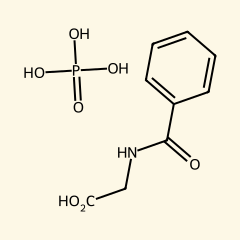 O=C(O)CNC(=O)c1ccccc1.O=P(O)(O)O